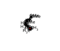 COc1ccc(C[C@H]2COC(=O)[C@@H]2Cc2ccc(OC(=O)N[C@H]3CCCN(C(=O)[C@@H](N)COC(=O)NC45CC6CC(C)(CC(C)(C6)C4)C5)C3)c(OC)c2)cc1OC